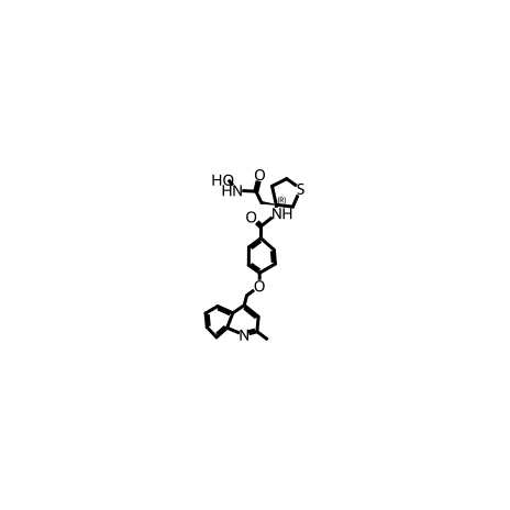 Cc1cc(COc2ccc(C(=O)N[C@]3(CC(=O)NO)CCSC3)cc2)c2ccccc2n1